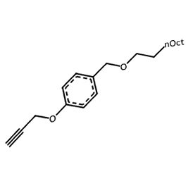 C#CCOc1ccc(COCCCCCCCCCC)cc1